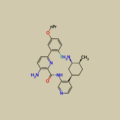 CCCOc1ccc(F)c(-c2ccc(N)c(C(=O)Nc3cnccc3[C@@H]3CC[C@H](C)[C@H](N)C3)n2)c1